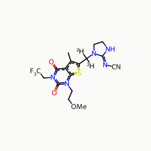 [2H]C([2H])(c1sc2c(c1C)c(=O)n(CC(F)(F)F)c(=O)n2CCOC)N1CCNC1=NC#N